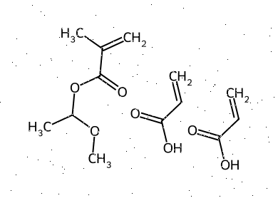 C=C(C)C(=O)OC(C)OC.C=CC(=O)O.C=CC(=O)O